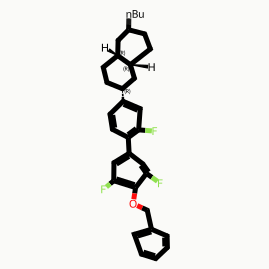 CCCCC1CC[C@@H]2C[C@H](c3ccc(-c4cc(F)c(OCc5ccccc5)c(F)c4)c(F)c3)CC[C@@H]2C1